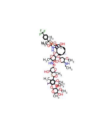 CCN[C@H]1CO[C@@H](O[C@H]2[C@H](O[C@H]3C#C/C=C\C#C[C@]4(O)CC(=O)C(NC(=O)OC)=C3/C4=C\CSSC(C)(C)c3ccc(C(F)(F)F)cc3)O[C@H](C)[C@@H](NO[C@H]3C[C@H](O)[C@H](SC(=O)c4c(C)c(I)c(O[C@@H]5O[C@@H](C)[C@H](O)[C@@H](OC)[C@H]5O)c(OC)c4OC)[C@@H](C)O3)[C@@H]2O)C[C@@H]1OC